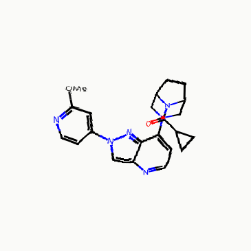 COc1cc(-n2cc3nccc(N4CC5CCC(C4)N5C(=O)C4CC4)c3n2)ccn1